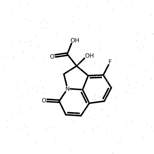 O=C(O)C1(O)Cn2c(=O)ccc3ccc(F)c1c32